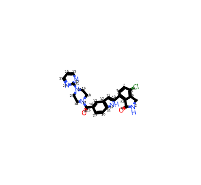 O=C1NCc2c(Cl)ccc(-c3cc4cc(C(=O)N5CCN(c6ncccn6)CC5)ccc4[nH]3)c21